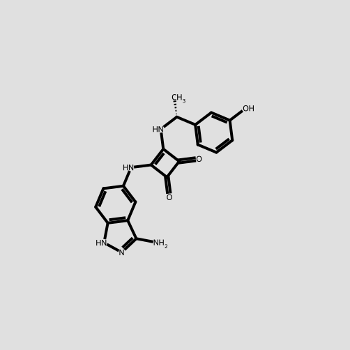 C[C@@H](Nc1c(Nc2ccc3[nH]nc(N)c3c2)c(=O)c1=O)c1cccc(O)c1